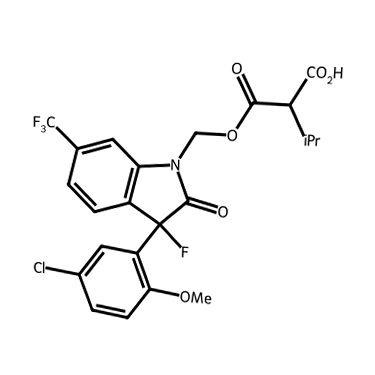 COc1ccc(Cl)cc1C1(F)C(=O)N(COC(=O)C(C(=O)O)C(C)C)c2cc(C(F)(F)F)ccc21